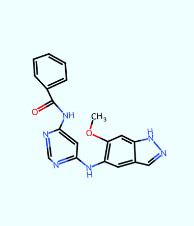 COc1cc2[nH]ncc2cc1Nc1cc(NC(=O)c2ccccc2)ncn1